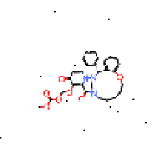 COC(=O)OCOc1c2n(ccc1=O)N1CN(CCCCCOc3ccccc3[C@H]1c1ccccc1)C2=O